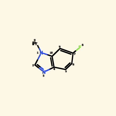 CC(C)n1cnc2ccc(F)cc21